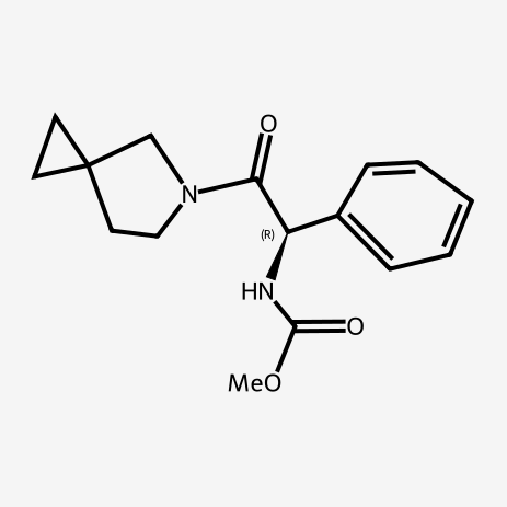 COC(=O)N[C@@H](C(=O)N1CCC2(CC2)C1)c1ccccc1